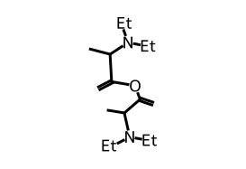 C=C(OC(=C)C(C)N(CC)CC)C(C)N(CC)CC